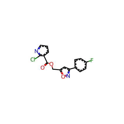 O=C(OCc1cc(-c2ccc(F)cc2)no1)c1cccnc1Cl